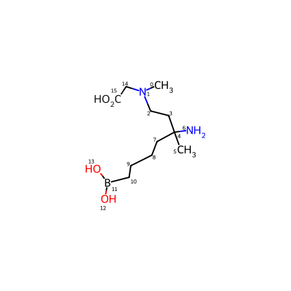 CN(CCC(C)(N)CCCCB(O)O)CC(=O)O